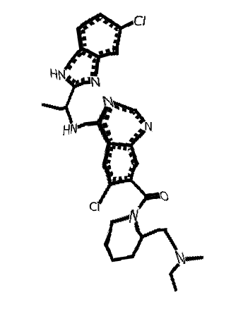 CCN(C)CC1CCCCN1C(=O)c1cc2ncnc(NC(C)c3nc4cc(Cl)ccc4[nH]3)c2cc1Cl